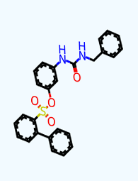 O=C(NCc1ccccc1)Nc1cccc(OS(=O)(=O)c2ccccc2-c2ccccc2)c1